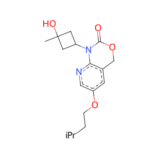 CC(C)CCOc1cnc2c(c1)COC(=O)N2C1CC(C)(O)C1